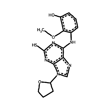 COc1c(O)cccc1Nc1nc(S)nc2c1ncn2C1CCCO1